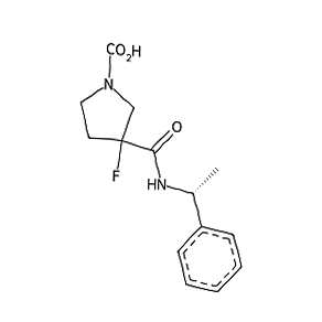 C[C@@H](NC(=O)C1(F)CCN(C(=O)O)C1)c1ccccc1